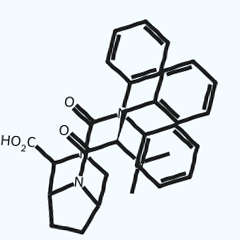 CN(C)[C@H](Cc1ccccc1)C(=O)N1C2CCC1C(C(=O)O)N(C(=O)N(c1ccccc1)c1ccccc1)C2